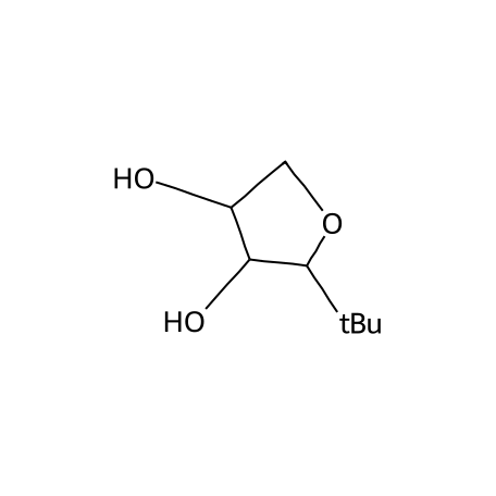 CC(C)(C)C1OCC(O)C1O